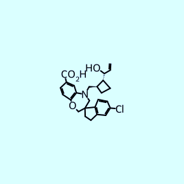 C=CC(O)[C@@H]1CC[C@H]1CN1CC2(CCc3cc(Cl)ccc32)COc2ccc(C(=O)O)cc21